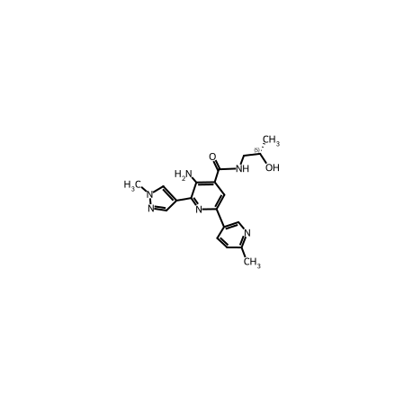 Cc1ccc(-c2cc(C(=O)NC[C@H](C)O)c(N)c(-c3cnn(C)c3)n2)cn1